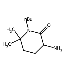 CCCCN1C(=O)C(N)CCC1(C)C